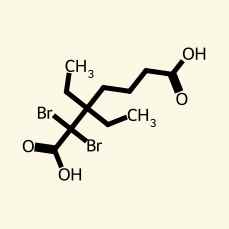 CCC(CC)(CCCC(=O)O)C(Br)(Br)C(=O)O